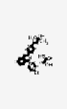 CCN1CCN(c2nc(-c3ccc(CCC(C)(C)O)nc3)cc3ccccc23)CC1.O=C(O)C(=O)O